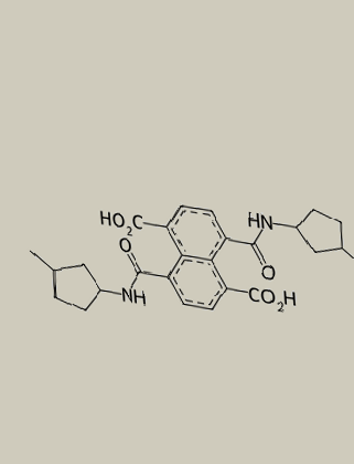 CC1CCC(NC(=O)c2ccc(C(=O)O)c3c(C(=O)NC4CCC(C)C4)ccc(C(=O)O)c23)C1